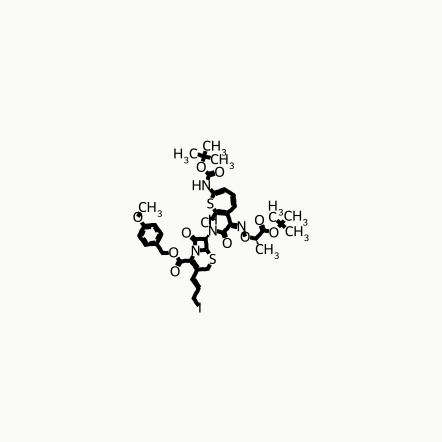 COc1ccc(COC(=O)C2=C(/C=C/CI)CSC3[C@H](NC(=O)/C(=N\O[C@@H](C)C(=O)OC(C)(C)C)C4=C(Cl)SC(NC(=O)OC(C)(C)C)=CC=C4)C(=O)N23)cc1